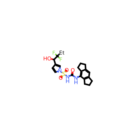 CCC(F)(F)C(O)c1ccn(S(=O)(=O)NC(=O)Nc2c3c(cc4c2CCC4)CCC3)c1